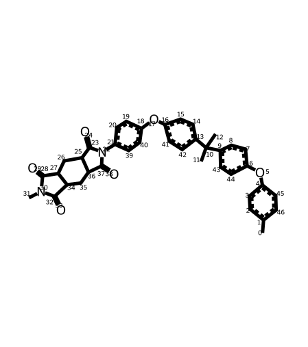 Cc1ccc(Oc2ccc(C(C)(C)c3ccc(Oc4ccc(N5C(=O)C6CC7C(=O)N(C)C(=O)C7CC6C5=O)cc4)cc3)cc2)cc1